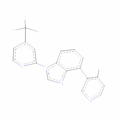 Cc1ccncc1-c1cccc2c1ncn2-c1cc(C(F)(F)F)ccn1